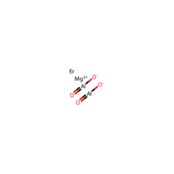 [Er].[Mg+2].[O]=[Al][O-].[O]=[Al][O-]